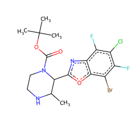 CC1NCCN(C(=O)OC(C)(C)C)C1c1nc2c(F)c(Cl)c(F)c(Br)c2o1